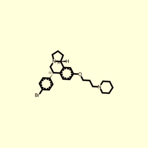 Brc1ccc([C@@H]2CN3CCC[C@@H]3c3cc(OCCCN4CCCCC4)ccc32)cc1